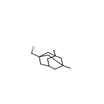 CC12CC3CC(C)(C1)CC(CCl)(C3)C2